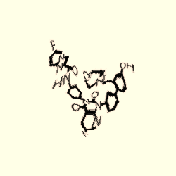 O=C(NC1CCC(n2c(=O)c3cc(F)cnc3n(-c3cccc(-c4ccc(O)cc4CN4CCOCC4)c3)c2=O)CC1)c1cn2cc(F)ccc2n1